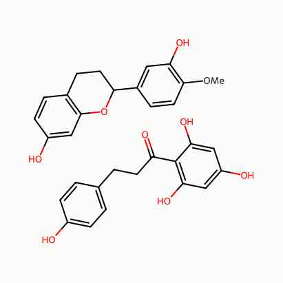 COc1ccc(C2CCc3ccc(O)cc3O2)cc1O.O=C(CCc1ccc(O)cc1)c1c(O)cc(O)cc1O